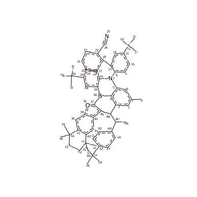 Cc1cc2c3c(c1)N(c1ccc(C(C)(C)C)cc1-c1ccccc1C#N)c1ccc(C(C)(C)C)cc1B3c1oc3cc4c(cc3c1C2C(C)c1ccc(C(C)(C)C)cc1)C(C)(C)CCC4(C)C